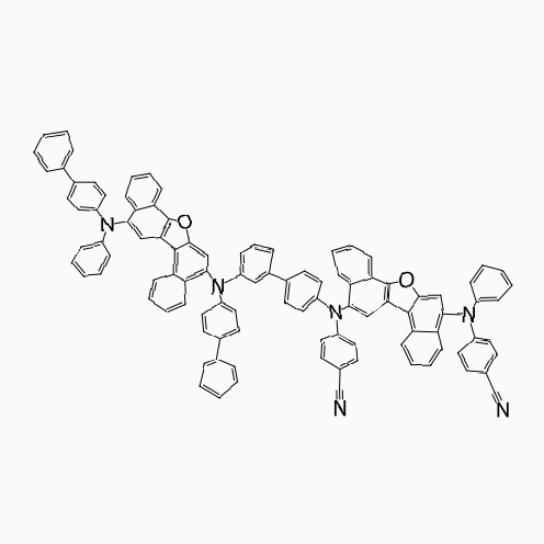 N#Cc1ccc(N(c2ccc(-c3cccc(N(c4ccc(-c5ccccc5)cc4)c4cc5oc6c7ccccc7c(N(c7ccccc7)c7ccc(-c8ccccc8)cc7)cc6c5c5ccccc45)c3)cc2)c2cc3c(oc4cc(N(c5ccccc5)c5ccc(C#N)cc5)c5ccccc5c43)c3ccccc23)cc1